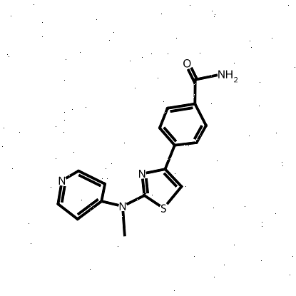 CN(c1ccncc1)c1nc(-c2ccc(C(N)=O)cc2)cs1